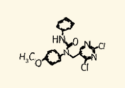 COc1ccc(N(Cc2cnc(Cl)nc2Cl)C(=O)Nc2ccccc2)cc1